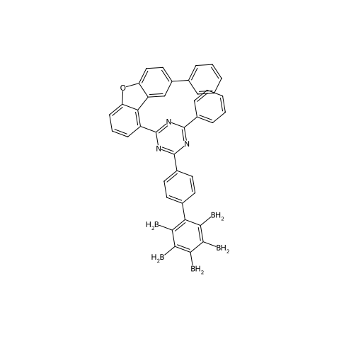 Bc1c(B)c(B)c(-c2ccc(-c3nc(-c4ccccc4)nc(-c4cccc5oc6ccc(-c7ccccc7)cc6c45)n3)cc2)c(B)c1B